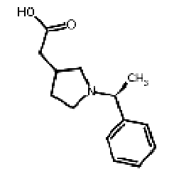 C[C@@H](c1ccccc1)N1CCC(CC(=O)O)C1